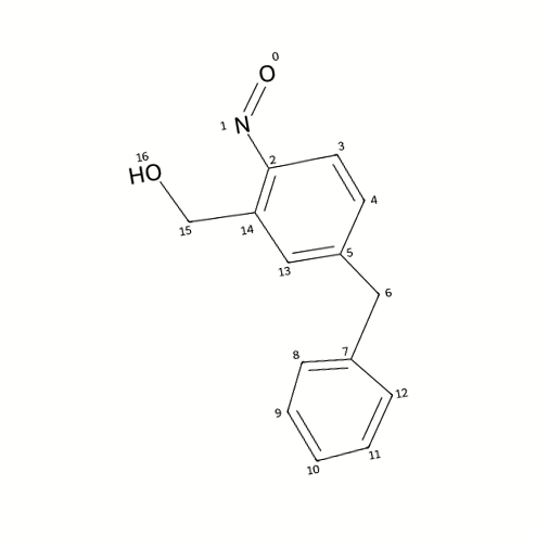 O=Nc1ccc(Cc2ccccc2)cc1CO